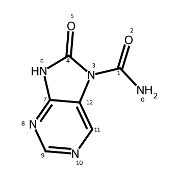 NC(=O)n1c(=O)[nH]c2ncncc21